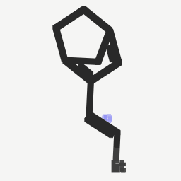 CC/C=C/C1=C2CCC(=C1)C2